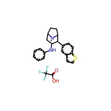 CN1C2CCC1C(c1ccc3sccc3c1)C(Nc1ccccc1)C2.O=C(O)C(F)(F)F